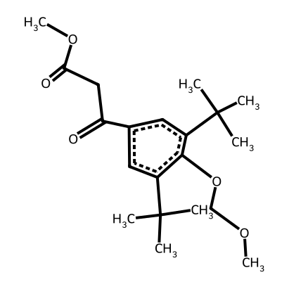 COCOc1c(C(C)(C)C)cc(C(=O)CC(=O)OC)cc1C(C)(C)C